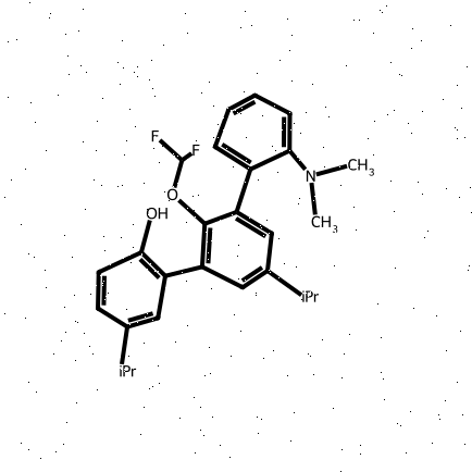 CC(C)c1ccc(O)c(-c2cc(C(C)C)cc(-c3ccccc3N(C)C)c2OC(F)F)c1